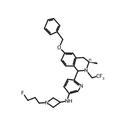 C[C@@H]1Cc2cc(OCc3ccccc3)ccc2C(c2ccc(NC3CN(CCCF)C3)cn2)N1CC(F)(F)F